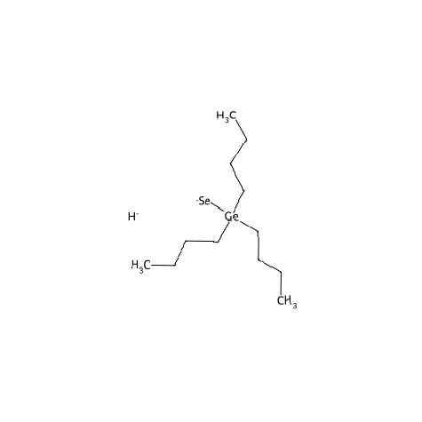 CCC[CH2][Ge]([Se])([CH2]CCC)[CH2]CCC.[H-]